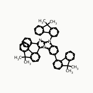 CC1(C)c2ccccc2-c2c(-c3ccc4c(c3)n3c(-c5cccc6c5-c5ccccc5C6(C)C)c(-c5ccccc5)nc3n4-c3cccc4c3-c3ccccc3C4(C)C)cccc21